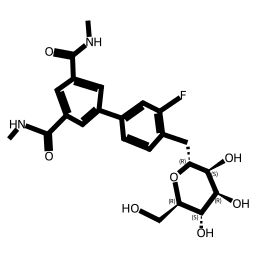 CNC(=O)c1cc(C(=O)NC)cc(-c2ccc(C[C@H]3O[C@H](CO)[C@@H](O)[C@H](O)[C@@H]3O)c(F)c2)c1